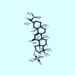 CN(O)C(=O)[C@@]1(C)CC[C@]2(C)CC[C@]3(C)C(=CC(=O)[C@@H]4[C@@]5(C)CC[C@@H](NS(C)(=O)=O)C(C)(C)C5CC[C@]43C)[C@@H]2C1